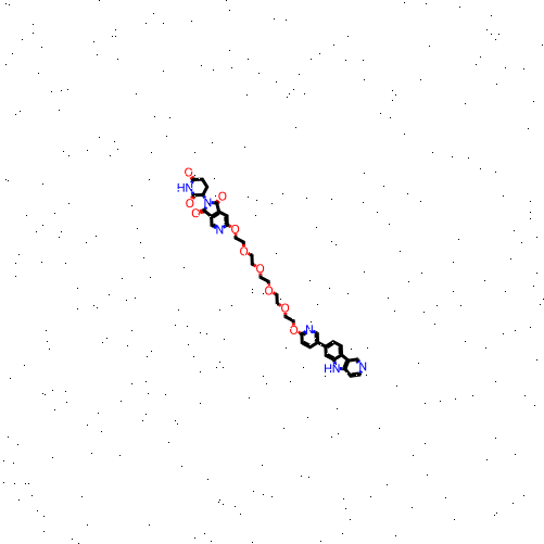 O=C1CCC(N2C(=O)c3cnc(OCCOCCOCCOCCOCCOc4ccc(-c5ccc6c(c5)[nH]c5ccncc56)cn4)cc3C2=O)C(=O)N1